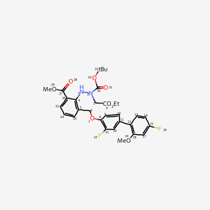 CCOC(=O)CN(Nc1c(COc2ccc(-c3ccc(F)cc3OC)cc2F)cccc1C(=O)OC)C(=O)OC(C)(C)C